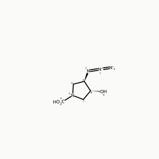 [N-]=[N+]=N[C@@H]1CN(C(=O)O)C[C@H]1O